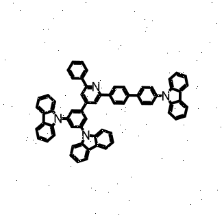 c1ccc(-c2cc(-c3cc(-n4c5ccccc5c5ccccc54)cc(-n4c5ccccc5c5ccccc54)c3)cc(-c3ccc(-c4ccc(-n5c6ccccc6c6ccccc65)cc4)cc3)n2)cc1